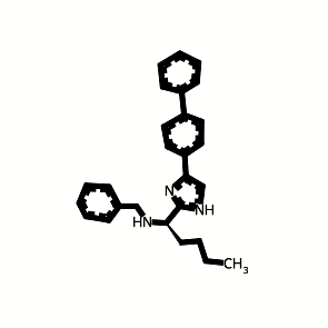 CCCC[C@@H](NCc1ccccc1)c1nc(-c2ccc(-c3ccccc3)cc2)c[nH]1